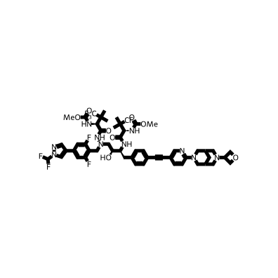 COC(=O)N[C@H](C(=O)N[C@@H](Cc1ccc(C#Cc2ccc(N3CC4CC(C3)CN(C3COC3)C4)nc2)cc1)[C@@H](O)CN(Cc1c(F)cc(-c2cnn(C(F)F)c2)cc1F)NC(=O)[C@@H](NC(=O)OC)C(C)(C)C(F)(F)F)C(C)(C)C(F)(F)F